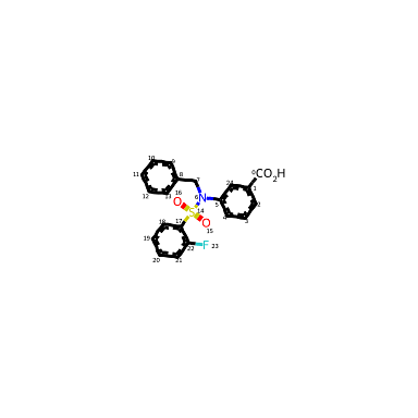 O=C(O)c1cccc(N(Cc2ccccc2)S(=O)(=O)c2ccccc2F)c1